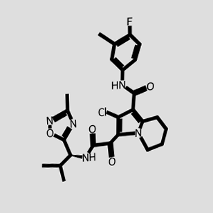 Cc1noc([C@@H](NC(=O)C(=O)c2c(Cl)c(C(=O)Nc3ccc(F)c(C)c3)c3n2CCCC3)C(C)C)n1